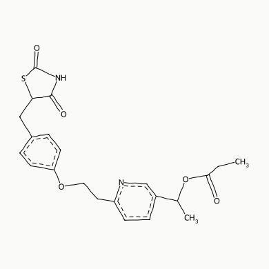 CCC(=O)OC(C)c1ccc(CCOc2ccc(CC3SC(=O)NC3=O)cc2)nc1